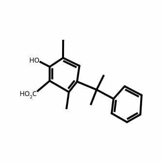 Cc1cc(C(C)(C)c2ccccc2)c(C)c(C(=O)O)c1O